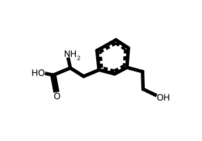 NC(Cc1cccc(CCO)c1)C(=O)O